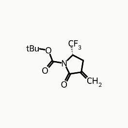 C=C1C[C@@H](C(F)(F)F)N(C(=O)OC(C)(C)C)C1=O